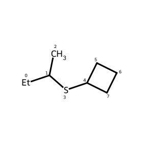 CCC(C)SC1CCC1